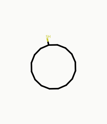 SC1CCCCCCCCCCCCCCC1